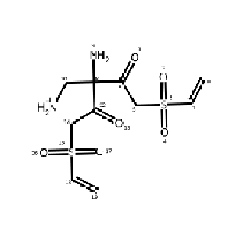 C=CS(=O)(=O)CC(=O)C(N)(CN)C(=O)CS(=O)(=O)C=C